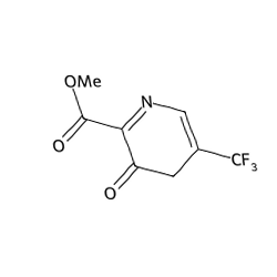 COC(=O)C1=NC=C(C(F)(F)F)CC1=O